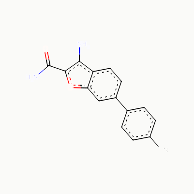 N#Cc1ccc(-c2ccc3c(N)c(C(N)=O)oc3c2)cc1